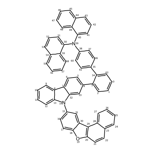 c1ccc(-c2ccc3c4ccccc4n(-c4ccc5oc6ccc7ccccc7c6c5c4)c3c2)c(-c2ccc(N(c3cccc4ccccc34)c3cccc4ccccc34)cc2)c1